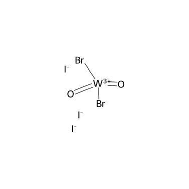 [I-].[I-].[I-].[O]=[W+3](=[O])([Br])[Br]